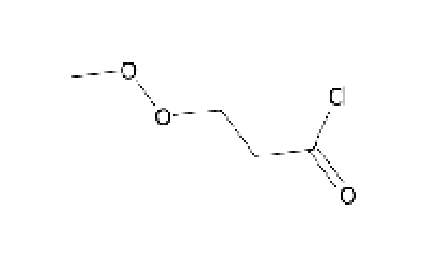 COOCCC(=O)Cl